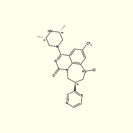 C[C@@H]1CN(c2nc(=O)n3c4c(cc(C(F)(F)F)cc24)[SH](Cl)C[C@@H](c2cnccn2)C3)C[C@H](C)N1